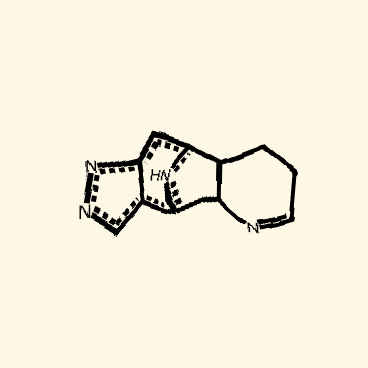 C1=NC2c3[nH]c(cc4nncc3-4)C2CC1